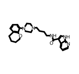 O=C(NCCCCN1CCN(c2cccc3c2OCCCC3)CC1)c1c[nH]c2ncccc12